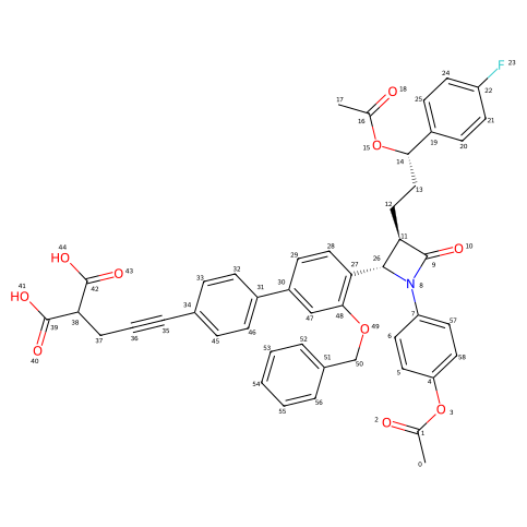 CC(=O)Oc1ccc(N2C(=O)[C@H](CC[C@H](OC(C)=O)c3ccc(F)cc3)[C@H]2c2ccc(-c3ccc(C#CCC(C(=O)O)C(=O)O)cc3)cc2OCc2ccccc2)cc1